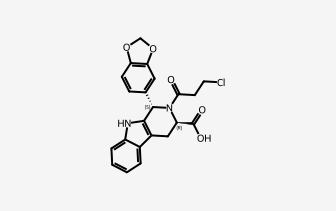 O=C(O)[C@H]1Cc2c([nH]c3ccccc23)[C@H](c2ccc3c(c2)OCO3)N1C(=O)CCCl